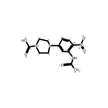 CC(=O)Nc1cc(N2CCN(C(=O)O)CC2)ccc1[N+](=O)[O-]